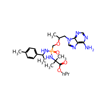 CCCOC(=O)C(C)(C)NP(=O)(COC(C)Cn1cnc2c(N)ncnc21)NC(C)c1ccc(C)cc1